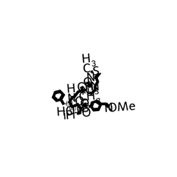 CON=Cc1ccc(S(=O)(=O)N(CC(C)C)C[C@H](O)[C@H](Cc2ccccc2)NC(=O)CC(C)(C)N2CCN(Cc3csc(C)n3)C2=O)cc1